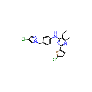 CCc1c(C)nc(-c2ccc(Cl)s2)nc1Nc1ccc(Cn2cc(Cl)cn2)cc1